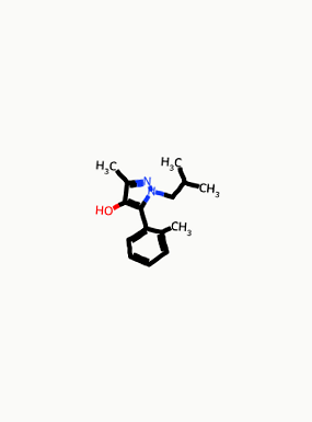 Cc1ccccc1-c1c(O)c(C)nn1CC(C)C